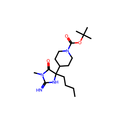 CCCCC1(C2CCN(C(=O)OC(C)(C)C)CC2)NC(=N)N(C)C1=O